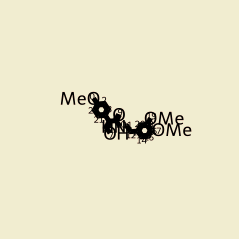 COc1ccc(C(=CO)C(=O)NCCc2ccc(OC)c(OC)c2)cc1